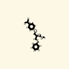 CSOC(COc1ccc(C(C)C)cc1)CSc1ccccc1